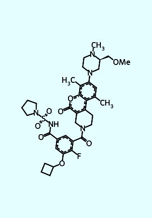 COC[C@H]1CN(c2cc(C)c3c4c(c(=O)oc3c2C)CN(C(=O)c2cc(C(=O)NS(=O)(=O)N3CCCC3)cc(OC3CCC3)c2F)CC4)CCN1C